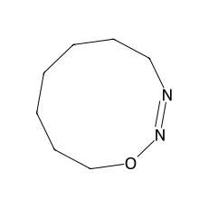 C1CCC/N=N\OCCC1